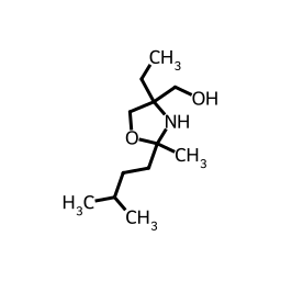 CCC1(CO)COC(C)(CCC(C)C)N1